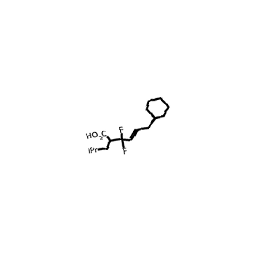 CC(C)CC(C(=O)O)C(F)(F)/C=C/CC1CCCCC1